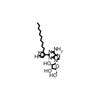 CCCCCCCCCCc1n[nH]cc1-c1nc(N)c2ncn([C@@H]3O[C@H](CO)[C@@H](O)[C@H]3O)c2n1